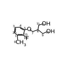 Cc1[c]ccc(OCC(CO)CO)c1F